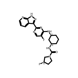 O=C(N[C@@H]1CCC[C@H](Nc2nc(-c3n[nH]c4ncccc34)ncc2F)C1)N1CC[C@@H](F)C1